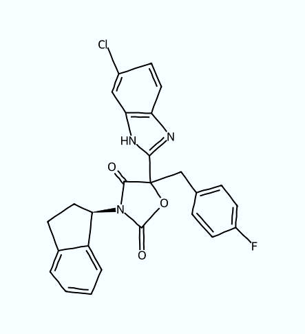 O=C1OC(Cc2ccc(F)cc2)(c2nc3ccc(Cl)cc3[nH]2)C(=O)N1[C@@H]1CCc2ccccc21